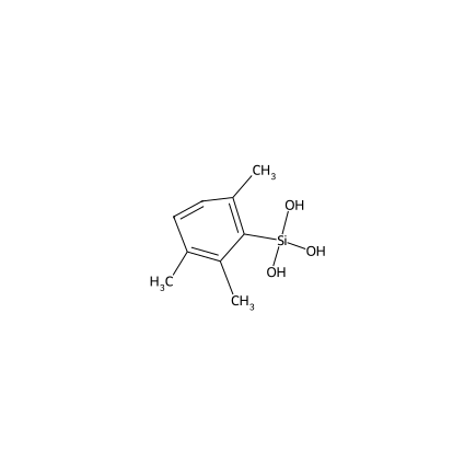 Cc1ccc(C)c([Si](O)(O)O)c1C